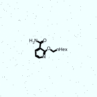 CCCCCCCOc1ncccc1C(N)=O